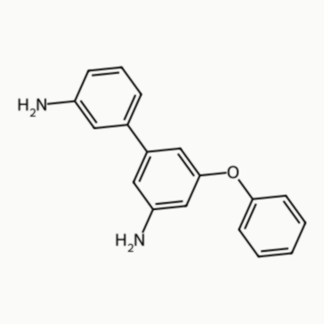 Nc1cccc(-c2cc(N)cc(Oc3ccccc3)c2)c1